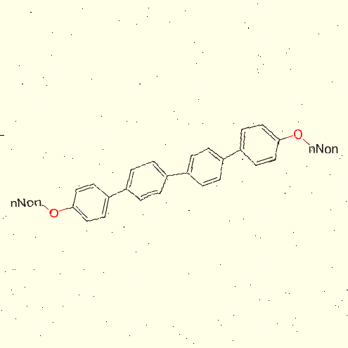 CCCCCCCCCOc1ccc(-c2ccc(-c3ccc(-c4ccc(OCCCCCCCCC)cc4)cc3)cc2)cc1